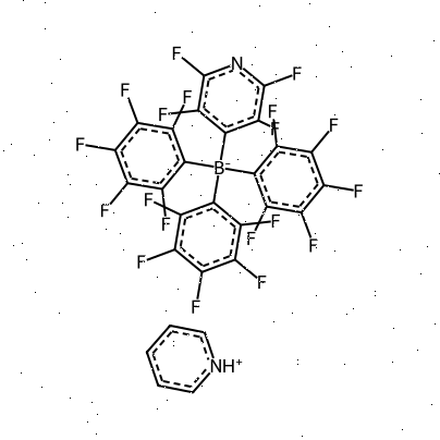 Fc1nc(F)c(F)c([B-](c2c(F)c(F)c(F)c(F)c2F)(c2c(F)c(F)c(F)c(F)c2F)c2c(F)c(F)c(F)c(F)c2F)c1F.c1cc[nH+]cc1